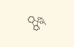 CC1(C)c2ccccc2-c2ccsc21